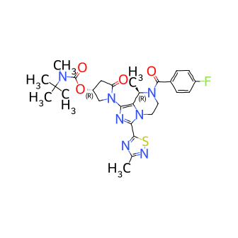 Cc1nsc(-c2nc(N3C[C@H](OC(=O)N(C)C(C)(C)C)CC3=O)c3n2CCN(C(=O)c2ccc(F)cc2)[C@@H]3C)n1